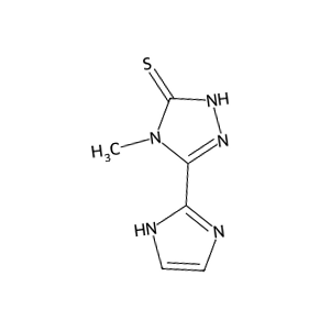 Cn1c(-c2ncc[nH]2)n[nH]c1=S